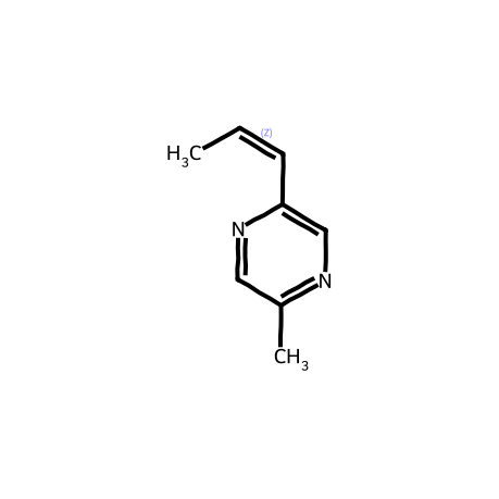 C/C=C\c1cnc(C)cn1